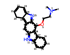 CN(C)CCOc1c2c(cc3[nH]c4ccccc4c13)=C1CC=CC=C1N=2